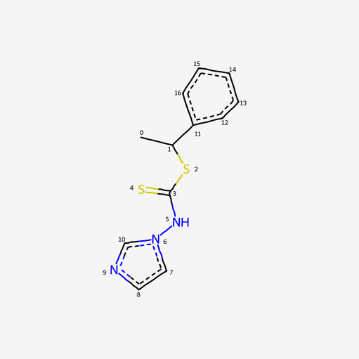 CC(SC(=S)Nn1ccnc1)c1ccccc1